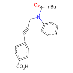 CCCCC(=O)N(CC#Cc1ccc(C(=O)O)cc1)c1ccccc1